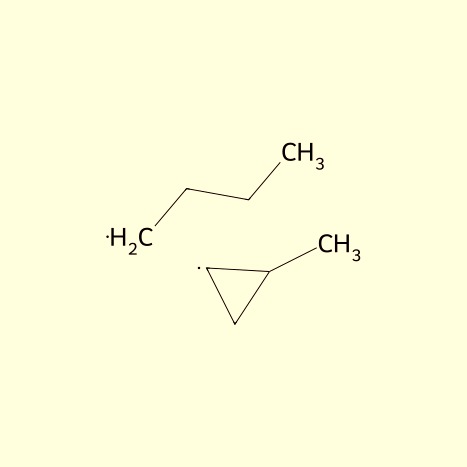 CC1[CH]C1.[CH2]CCC